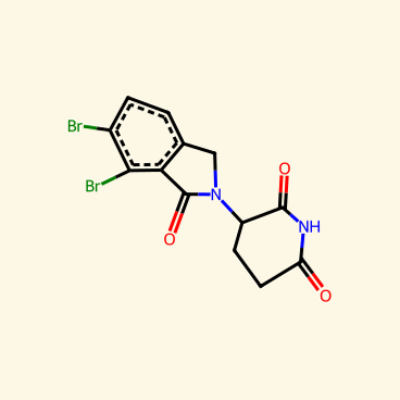 O=C1CCC(N2Cc3ccc(Br)c(Br)c3C2=O)C(=O)N1